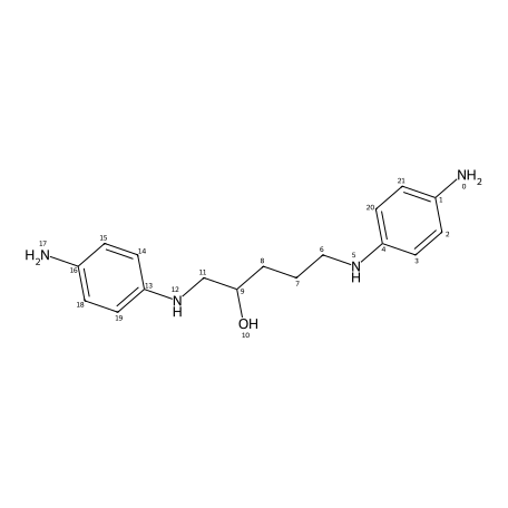 Nc1ccc(NCCCC(O)CNc2ccc(N)cc2)cc1